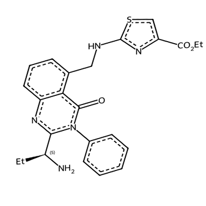 CCOC(=O)c1csc(NCc2cccc3nc([C@@H](N)CC)n(-c4ccccc4)c(=O)c23)n1